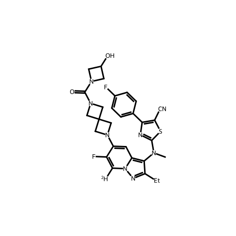 [2H]c1c(F)c(N2CC3(CN(C(=O)N4CC(O)C4)C3)C2)cc2c(N(C)c3nc(-c4ccc(F)cc4)c(C#N)s3)c(CC)nn12